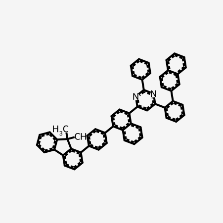 CC1(C)c2ccccc2-c2cccc(-c3ccc(-c4ccc(-c5cc(-c6ccccc6-c6ccc7ccccc7c6)nc(-c6ccccc6)n5)c5ccccc45)cc3)c21